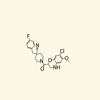 COc1cc2c(cc1Cl)OC(C(=O)N1CCC(C#N)(Cc3ccc(F)cc3)CC1)CN2